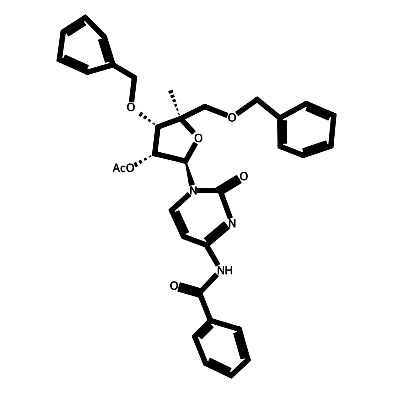 CC(=O)O[C@H]1[C@H](n2ccc(NC(=O)c3ccccc3)nc2=O)O[C@](C)(COCc2ccccc2)[C@H]1OCc1ccccc1